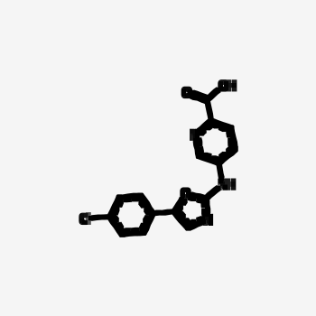 O=C(O)c1ccc(Nc2ncc(-c3ccc(Cl)cc3)o2)cn1